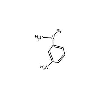 CC(C)N(C)c1cccc(N)c1